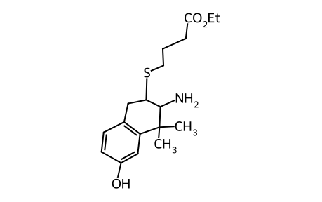 CCOC(=O)CCCSC1Cc2ccc(O)cc2C(C)(C)C1N